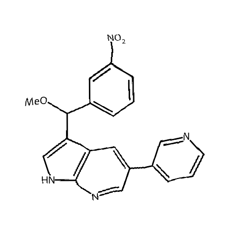 COC(c1cccc([N+](=O)[O-])c1)c1c[nH]c2ncc(-c3cccnc3)cc12